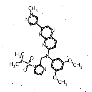 COc1cc(OC)cc(N(Cc2nccn2S(=O)(=O)N(C)C)c2ccc3ncc(-c4cnn(C)c4)nc3n2)c1